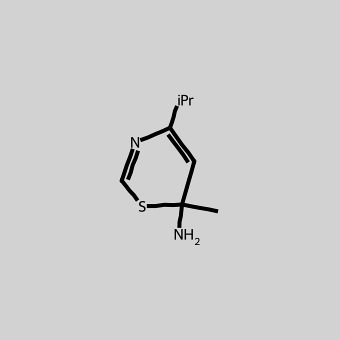 CC(C)C1=CC(C)(N)SC=N1